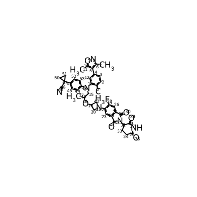 Cc1ccc(-c2c(C)noc2C)cc1N(CC(C)OC1CN(c2cc3c(cc2F)C(=O)N(C2CCC(=O)NC2=O)C3=O)C1)c1ccc(C2(C#N)CC2)cc1